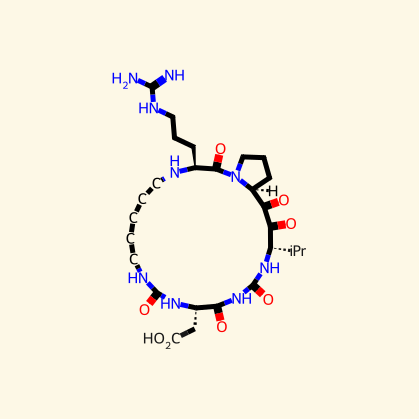 CC(C)[C@@H]1NC(=O)NC(=O)[C@H](CC(=O)O)NC(=O)NCCCCCN[C@@H](CCCNC(=N)N)C(=O)N2CCC[C@H]2C(=O)C1=O